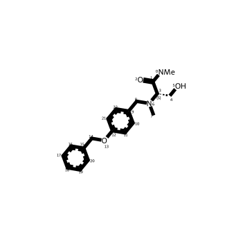 CNC(=O)[C@H](CO)N(C)Cc1ccc(OCc2ccccc2)cc1